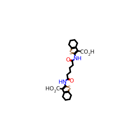 O=C(CCCCC(=O)Nc1sc2c(c1C(=O)O)CCCC2)Nc1sc2c(c1C(=O)O)CCCC2